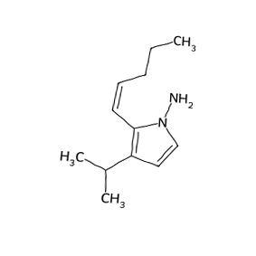 CCC/C=C\c1c(C(C)C)ccn1N